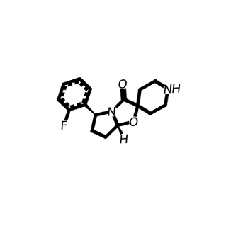 O=C1N2[C@@H](CC[C@H]2c2ccccc2F)OC12CCNCC2